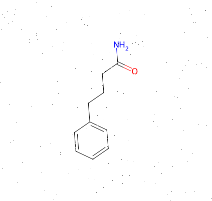 NC(=O)CCCc1ccccc1